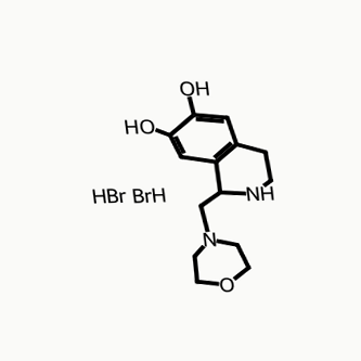 Br.Br.Oc1cc2c(cc1O)C(CN1CCOCC1)NCC2